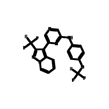 FC(F)(F)Oc1ccc(Nc2cncc(-c3c(C(F)(F)F)nn4ccccc34)n2)cc1